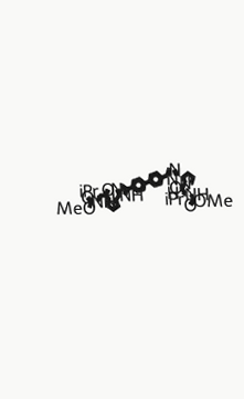 COC(=O)NC(C(=O)N1CCCC1c1ncc(-c2ccc(-c3ccc(-c4cnc([C@@H]5CCCN5C(=O)C(NC(=O)OC)C(C)C)[nH]4)cc3)cc2)[nH]1)C(C)C